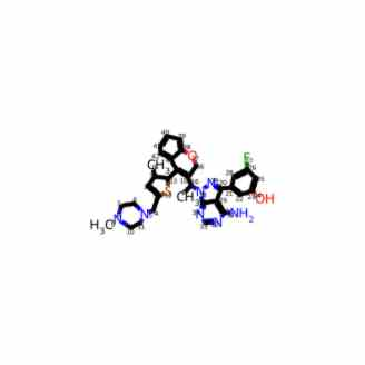 CC1C=C(CN2CCN(C)CC2)SC1C1=C(C(C)n2nc(-c3cc(O)cc(F)c3)c3c(N)ncnc32)COc2ccccc21